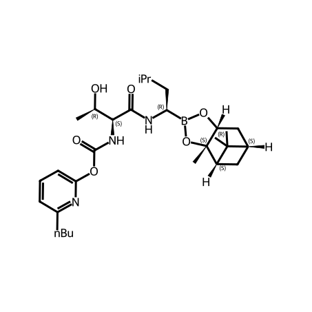 CCCCc1cccc(OC(=O)N[C@H](C(=O)N[C@@H](CC(C)C)B2O[C@@H]3C[C@@H]4C[C@@H](C4(C)C)[C@]3(C)O2)[C@@H](C)O)n1